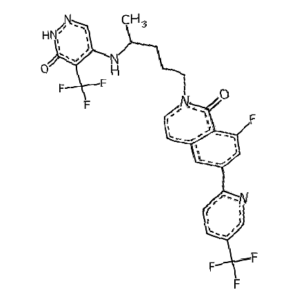 CC(CCCn1ccc2cc(-c3ccc(C(F)(F)F)cn3)cc(F)c2c1=O)Nc1cn[nH]c(=O)c1C(F)(F)F